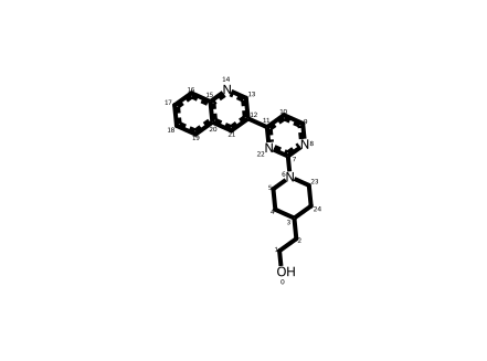 OCCC1CCN(c2nccc(-c3cnc4ccccc4c3)n2)CC1